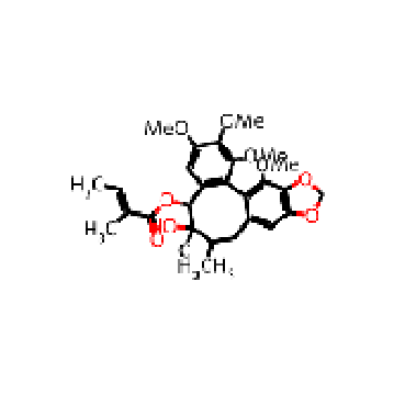 CC=C(C)C(=O)OC1c2cc(OC)c(OC)c(OC)c2-c2c(cc3c(c2OC)OCO3)CC(C)C1(C)O